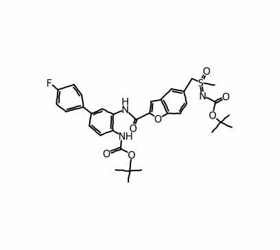 CC(C)(C)OC(=O)N=S(C)(=O)Cc1ccc2oc(C(=O)Nc3cc(-c4ccc(F)cc4)ccc3NC(=O)OC(C)(C)C)cc2c1